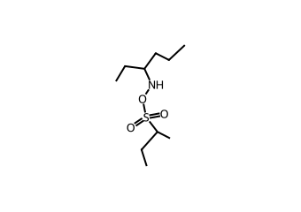 CCCC(CC)NOS(=O)(=O)C(C)CC